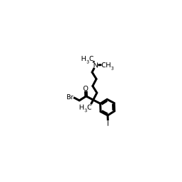 CN(C)CCCCC(C)(C(=O)CBr)c1cccc(I)c1